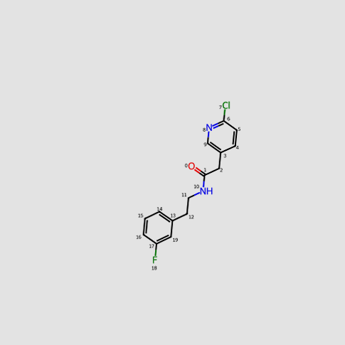 O=C(Cc1ccc(Cl)nc1)NCCc1cccc(F)c1